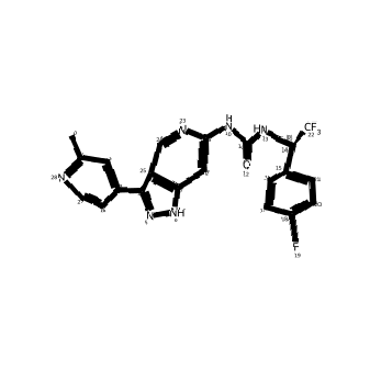 Cc1cc(-c2n[nH]c3cc(NC(=O)N[C@H](c4ccc(F)cc4)C(F)(F)F)ncc23)ccn1